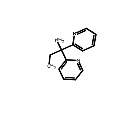 CCC(N)(c1ccccn1)c1ccccn1